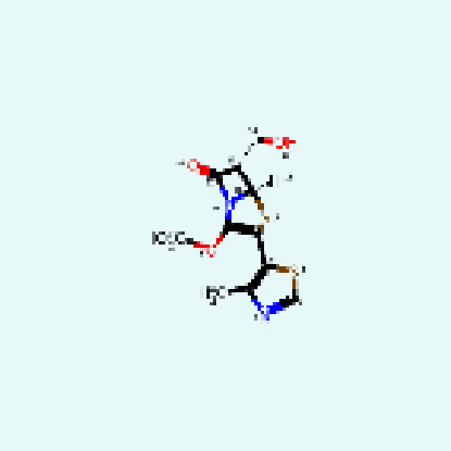 Cc1ncsc1C1=C(OC(=O)O)N2C(=O)[C@H](CO)[C@H]2S1